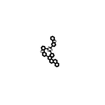 c1ccc(-c2nc(-c3ccc4sc5ccccc5c4c3)nc(-c3cccc4oc5ccc(-c6ccc7c(ccc8c9ccccc9ccc78)c6)cc5c34)n2)cc1